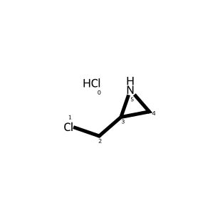 Cl.ClCC1CN1